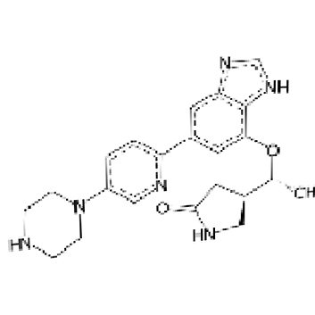 C[C@@H](Oc1cc(-c2ccc(N3CCNCC3)cn2)cc2nc[nH]c12)[C@H]1CNC(=O)C1